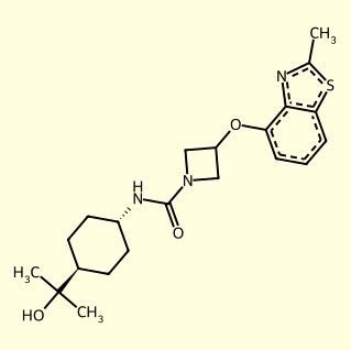 Cc1nc2c(OC3CN(C(=O)N[C@H]4CC[C@H](C(C)(C)O)CC4)C3)cccc2s1